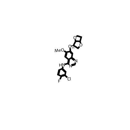 COc1cc2c(Nc3ccc(F)c(Cl)c3)ncnc2cc1O[C@@H]1COC2CCOC21